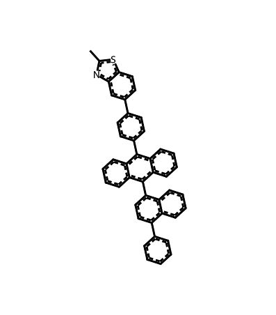 Cc1nc2cc(-c3ccc(-c4c5ccccc5c(-c5ccc(-c6ccccc6)c6ccccc56)c5ccccc45)cc3)ccc2s1